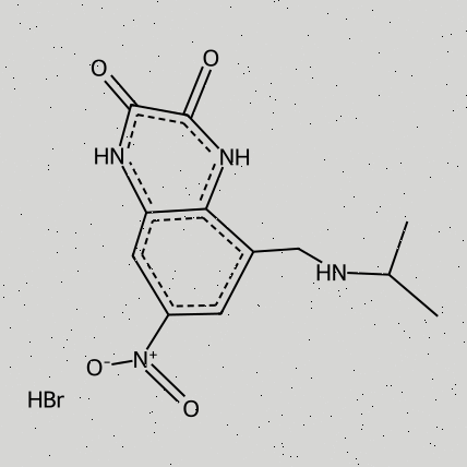 Br.CC(C)NCc1cc([N+](=O)[O-])cc2[nH]c(=O)c(=O)[nH]c12